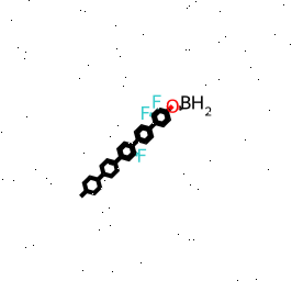 BCOc1ccc(-c2ccc(-c3ccc(C4=CCC(C5CCC(C)CC5)CC4)cc3F)cc2)c(F)c1F